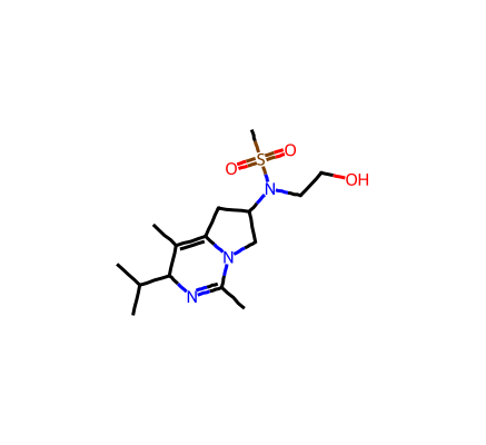 CC1=NC(C(C)C)C(C)=C2CC(N(CCO)S(C)(=O)=O)CN12